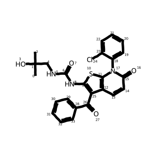 CC(C)(O)CNC(=O)Nc1sc2c(ccc(=O)n2-c2ccccc2Cl)c1C(=O)c1ccccc1